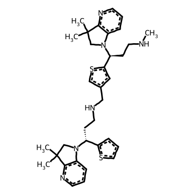 CNCC[C@@H](c1cc(CNCC[C@H](c2cccs2)N2CC(C)(C)c3ncccc32)cs1)N1CC(C)(C)c2ncccc21